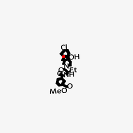 CC[C@@H](NC(=O)c1cccc(C(=O)OC)c1)C(=O)N1CC[C@](O)(c2ccc(Cl)cc2)C(C)(C)C1